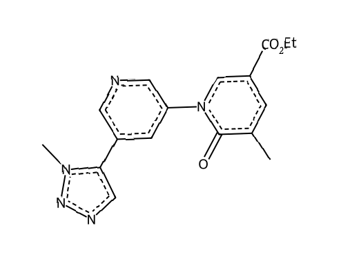 CCOC(=O)c1cc(C)c(=O)n(-c2cncc(-c3cnnn3C)c2)c1